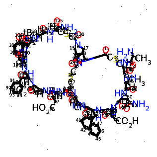 C[C@H](N)C(=O)N[C@H]1CSCC(=O)N2CC34CN5CC3(C2)CN(C4)C(=O)CSC[C@@H](NC(=O)[C@@H](C)NC(=O)[C@H](Cc2cccc3ccccc23)NC(=O)[C@H](CCC(=O)O)NC(=O)[C@H](CC(N)=O)NC(=O)[C@@H](C)NC1=O)C(=O)N[C@@H](CCC(=O)O)C(=O)N[C@@H](CC(=O)O)C(=O)N[C@@H](Cc1ccccc1)C(=O)N[C@@H](Cc1ccc(O)cc1)C(=O)NC(CC(=O)O)C(=O)N[C@@H](C(C)(C)C)C(=O)N[C@H](C(N)=O)CSCC5=O